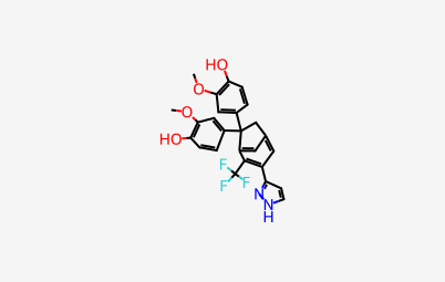 COc1cc(C2(c3ccc(O)c(OC)c3)Cc3cc(-c4cc[nH]n4)c(C(F)(F)F)c2c3)ccc1O